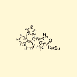 CC(C)(C)OC(=O)C(C)(C)ON=c1c2nccc3cccc(c32)n2cccc12